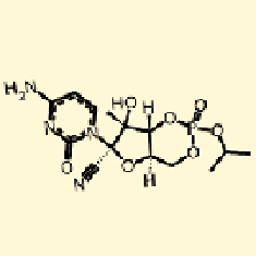 CC(C)OP1(=O)OC[C@H]2O[C@@](C#N)(n3ccc(N)nc3=O)[C@](C)(O)[C@@H]2O1